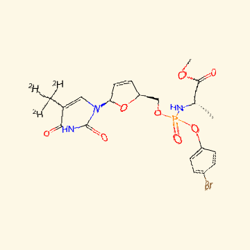 [2H]C([2H])([2H])c1cn([C@H]2C=C[C@@H](COP(=O)(N[C@@H](C)C(=O)OC)Oc3ccc(Br)cc3)O2)c(=O)[nH]c1=O